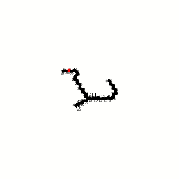 CCCCC/C=C\C/C=C\CCCCCCCCC(O)(CCCCCCCC/C=C\C/C=C\CCCCC)CCCCN(C)C